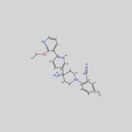 CCOc1ncccc1-c1ccc(C2(N)CCN(c3ccc(Cl)cc3C#N)CC2)cn1